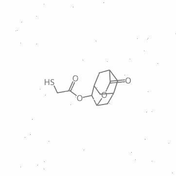 O=C(CS)OC1C2CC3CC(C2)C(=O)OC1C3